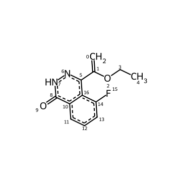 C=C(OCC)c1n[nH]c(=O)c2cccc(F)c12